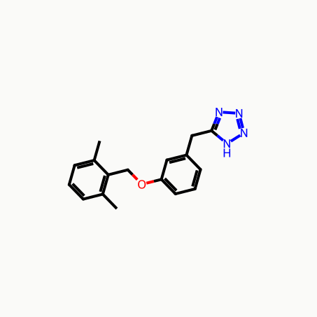 Cc1cccc(C)c1COc1cccc(Cc2nnn[nH]2)c1